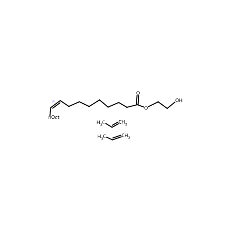 C=CC.C=CC.CCCCCCCC/C=C\CCCCCCCC(=O)OCCO